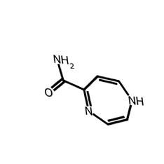 NC(=O)C1=NC=CNC=C1